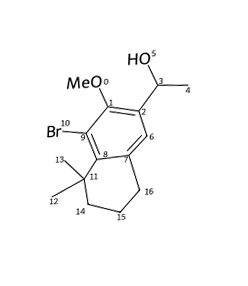 COc1c(C(C)O)cc2c(c1Br)C(C)(C)CCC2